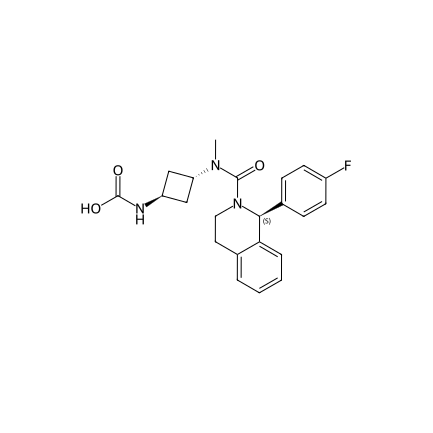 CN(C(=O)N1CCc2ccccc2[C@@H]1c1ccc(F)cc1)[C@H]1C[C@H](NC(=O)O)C1